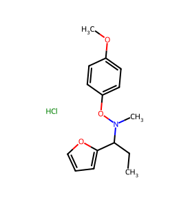 CCC(c1ccco1)N(C)Oc1ccc(OC)cc1.Cl